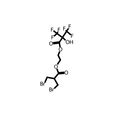 O=C(OCCOC(=O)C(O)(C(F)(F)F)C(F)(F)F)C(CBr)CBr